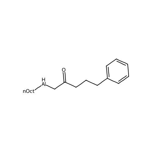 CCCCCCC[CH2][AlH][CH2]C(=O)CCCc1ccccc1